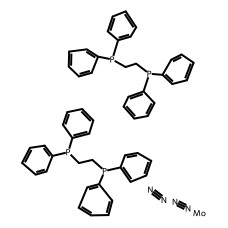 N#N.N#N.[Mo].c1ccc(P(CCP(c2ccccc2)c2ccccc2)c2ccccc2)cc1.c1ccc(P(CCP(c2ccccc2)c2ccccc2)c2ccccc2)cc1